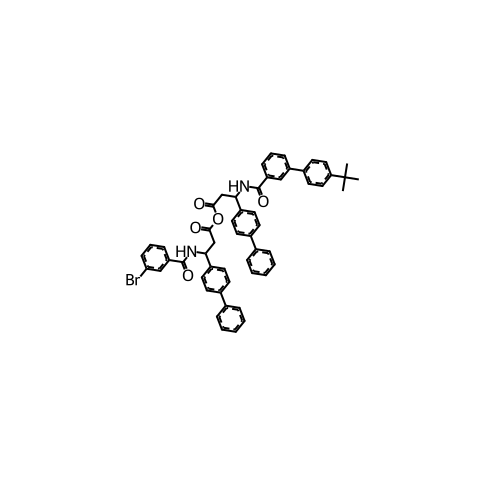 CC(C)(C)c1ccc(-c2cccc(C(=O)NC(CC(=O)OC(=O)CC(NC(=O)c3cccc(Br)c3)c3ccc(-c4ccccc4)cc3)c3ccc(-c4ccccc4)cc3)c2)cc1